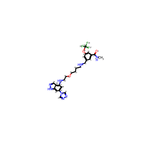 CNC(=O)c1cc(CNCCCCOCCNc2cc(-n3cnnc3)cc3[nH]ncc23)cc(OC(F)(F)F)c1